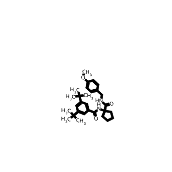 COc1ccc(CNC(=O)C2(NC(=O)c3cc(C(C)(C)C)cc(C(C)(C)C)c3)CCCC2)cc1